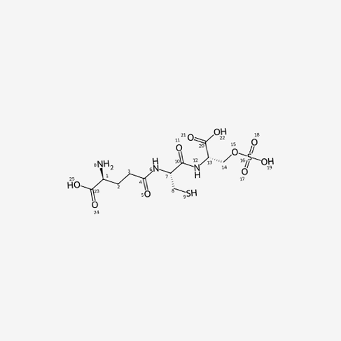 N[C@@H](CCC(=O)N[C@@H](CS)C(=O)N[C@@H](COS(=O)(=O)O)C(=O)O)C(=O)O